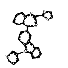 c1cncc(-n2c3ccccc3c3cc(-c4nc(-c5ncco5)nc5ccccc45)ccc32)c1